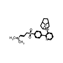 CN(C)C=CCS(=O)(=O)c1ccc(-c2ncccc2N2CCC3CCC(C2)N3C)cc1